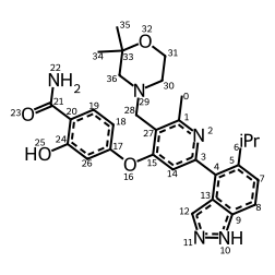 Cc1nc(-c2c(C(C)C)ccc3[nH]ncc23)cc(Oc2ccc(C(N)=O)c(O)c2)c1CN1CCOC(C)(C)C1